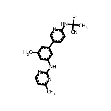 CCC(C)(C#N)Nc1ccc(-c2cc(C)cc(Nc3nccc(C(F)(F)F)n3)c2)cn1